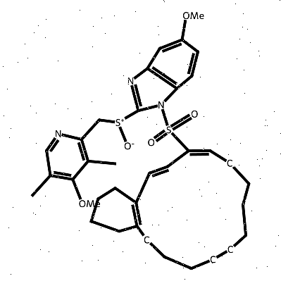 COc1ccc2c(c1)nc([S+]([O-])Cc1ncc(C)c(OC)c1C)n2S(=O)(=O)C1=C/CCCCCCCCCC2=C(\C=C\1)CCCC2